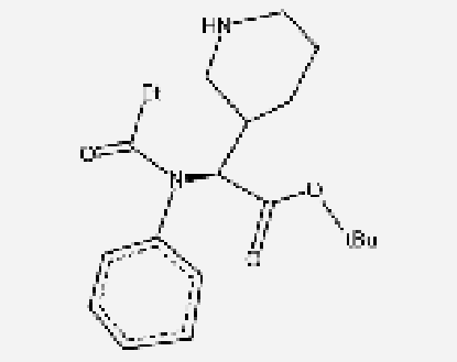 CCC(=O)N(c1ccccc1)[C@H](C(=O)OC(C)(C)C)C1CCCNC1